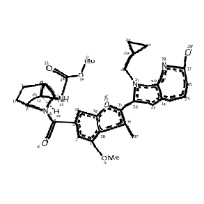 COc1cc(C(=O)N2CC3CCC2[C@@H]3NC(=O)OC(C)(C)C)cc2oc(-c3cc4ccc(Cl)nc4n3CC3CC3)c(C)c12